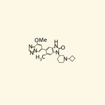 COc1cc(-c2cc3[nH]c(=O)n([C@@H]4CCCN(C5CCC5)C4)c3cc2C)cn2ncnc12